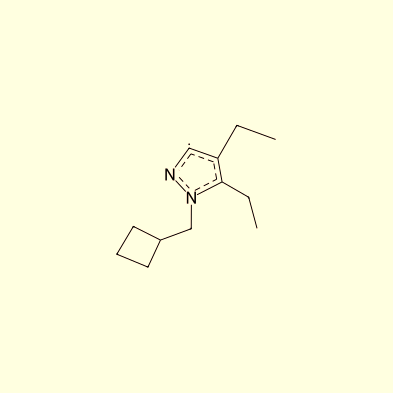 CCc1[c]nn(CC2CCC2)c1CC